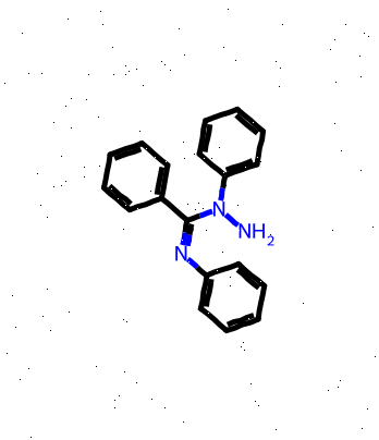 NN(C(=Nc1ccccc1)c1ccccc1)c1ccccc1